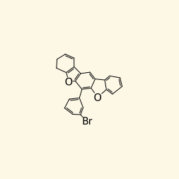 Brc1cccc(-c2c3oc4c(c3cc3c2oc2ccccc23)C=CCC4)c1